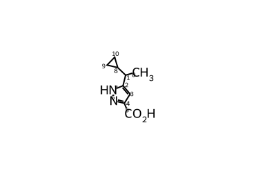 CC(c1cc(C(=O)O)n[nH]1)C1CC1